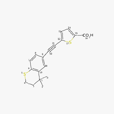 CC1(C)CCSc2ccc(C#Cc3ccc(C(=O)O)s3)cc21